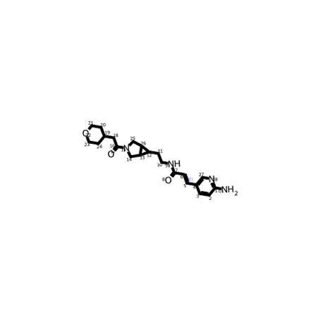 Nc1ccc(/C=C/C(=O)NCCC2C3CN(C(=O)CC4CCOCC4)CC23)cn1